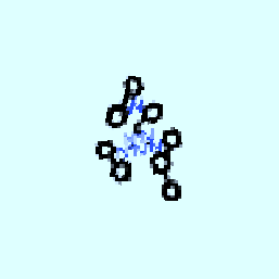 c1ccc(-c2ccc3c(c2)c2ccccc2n3-c2nc(Cc3ccccc3-n3c4ccccc4c4ccccc43)nc(-n3c4ccccc4c4ccccc43)n2)cc1